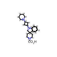 O=C(O)N1CCC2(CC1)CN(C1CC(N3CCCCC3)C1)c1ccccc12